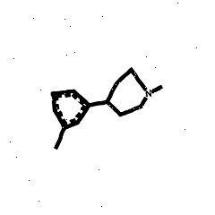 Cc1cccc(C2CCN(C)CC2)c1